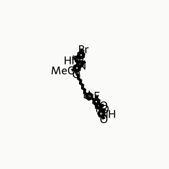 COc1cc2c(N[C@H](C)c3cccc(Br)c3)nc(C)nc2cc1OCCCCCCCCN1CCC(c2cc3c(cc2F)C(=O)N(C2CCC(=O)NC2=O)C3)CC1